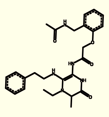 CCN1C(NCCc2ccccc2)=C(NC(=O)COc2ccccc2CNC(C)=O)NC(=O)C1C